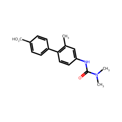 Cc1cc(NC(=O)N(C)C)ccc1-c1ccc(C(=O)O)cc1